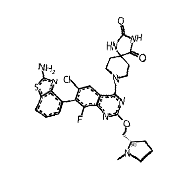 CN1CCC[C@H]1COc1nc(N2CCC3(CC2)NC(=O)NC3=O)c2cc(Cl)c(-c3cccc4sc(N)nc34)c(F)c2n1